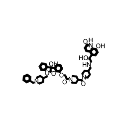 O=C(COc1cccc([C@](O)(C(=O)OCC2CCN(Cc3ccccc3)CC2)c2ccccc2)c1)N1CCC(C(=O)N2CCC(CNC[C@H](O)c3ccc(O)c4[nH]c(=O)ccc34)CC2)CC1